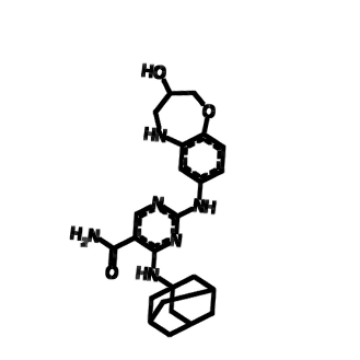 NC(=O)c1cnc(Nc2ccc3c(c2)NCC(O)CO3)nc1NC12CC3CC(CC(C3)C1)C2